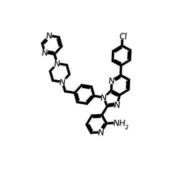 Nc1ncccc1-c1nc2ccc(-c3ccc(Cl)cc3)nc2n1-c1ccc(CN2CCN(c3ccncn3)CC2)cc1